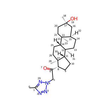 Cc1nnn(CC(=O)[C@H]2CC[C@H]3[C@@H]4CC[C@@H]5C[C@](C)(O)CC[C@]5(C)[C@H]4CC[C@]23C)n1